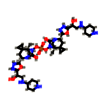 O=C1N2C[C@H](N1OS(=O)(=O)ON1C(=O)N3C[C@H]1C1(CC1)C[C@H]3c1nnc(C(O)CNC3CCNCC3)o1)C1(CC1)C[C@H]2c1nnc(C(O)CNC2CCNCC2)o1